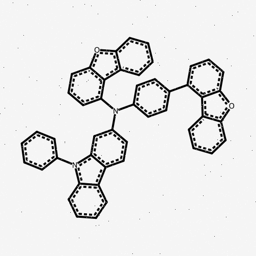 c1ccc(-n2c3ccccc3c3ccc(N(c4ccc(-c5cccc6oc7ccccc7c56)cc4)c4cccc5oc6ccccc6c45)cc32)cc1